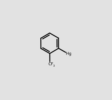 FC(F)(F)c1cccc[c]1[Hg]